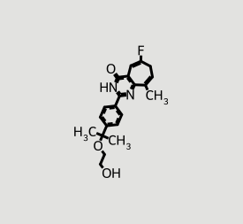 CC1=CCC(F)=Cc2c1nc(-c1ccc(C(C)(C)OCCO)cc1)[nH]c2=O